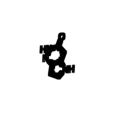 O=c1cc2[nH]ccc2n[nH]1